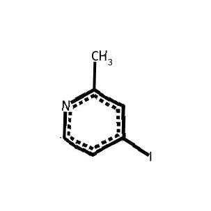 Cc1cc(I)c[c]n1